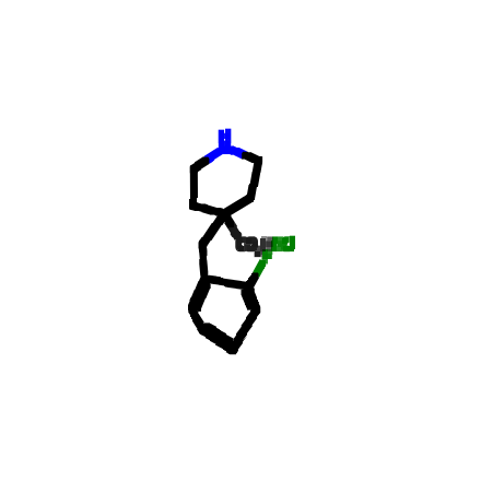 Cl.O=C(O)C1(Cc2ccccc2F)CCNCC1